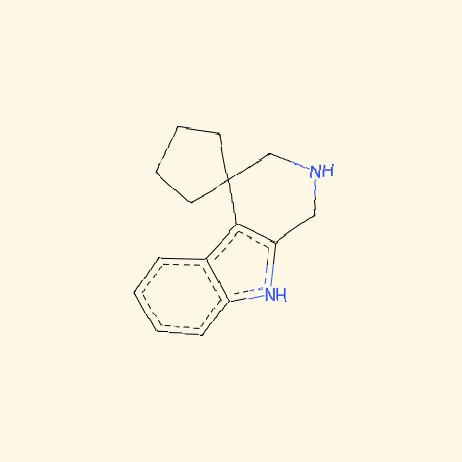 c1ccc2c3c([nH]c2c1)CNCC31CCCC1